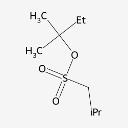 CCC(C)(C)OS(=O)(=O)CC(C)C